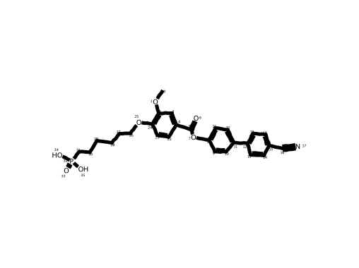 COc1cc(C(=O)Oc2ccc(-c3ccc(C#N)cc3)cc2)ccc1OCCCCCCP(=O)(O)O